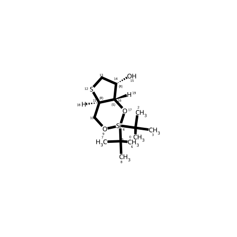 CC(C)(C)[Si]1(C(C)(C)C)OC[C@H]2SC[C@H](O)[C@@H]2O1